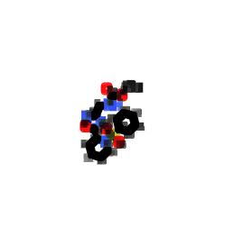 CC(C)(C)OC(=O)NCc1noc([C@@H]2CCCCN2S(=O)(=O)C2CCCCC2)n1